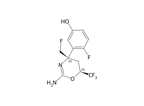 NC1=N[C@](CF)(c2cc(O)ccc2F)C[C@@H](C(F)(F)F)O1